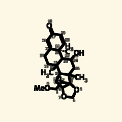 COCC(=O)C12OCOC1CC1C3(C)CCC4=CC(=O)C=C[C@@]4(C)C3C(O)CC12C